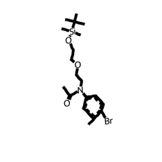 CC(=O)N(CCOCCO[Si](C)(C)C(C)(C)C)c1ccc(Br)c(C)c1